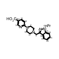 CCCn1nc(CN2CCN(c3ccc(C(=O)O)cn3)CC2)c2ccccc21